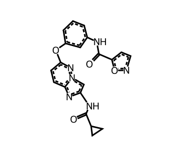 O=C(Nc1cccc(Oc2ccc3nc(NC(=O)C4CC4)cn3n2)c1)c1ccno1